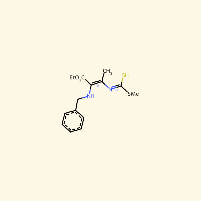 CCOC(=O)/C(NCc1ccccc1)=C(C)/N=C(\S)SC